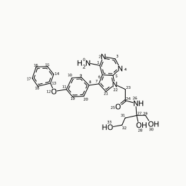 Nc1ncnc2c1c(-c1ccc(Oc3ccccc3)cc1)cn2CC(=O)NC(O)(CO)CCO